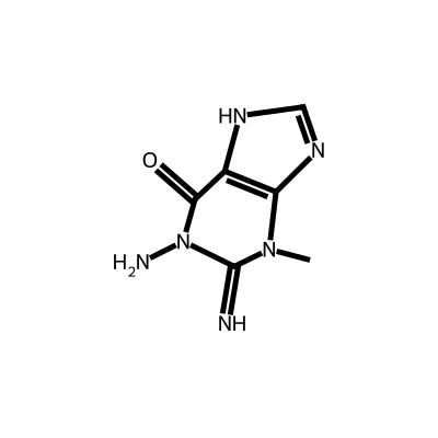 Cn1c(=N)n(N)c(=O)c2[nH]cnc21